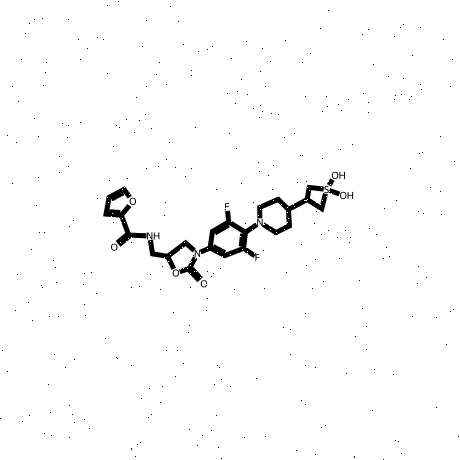 O=C(NCC1CN(c2cc(F)c(N3CCC(C4CS(O)(O)C4)CC3)c(F)c2)C(=O)O1)c1ccco1